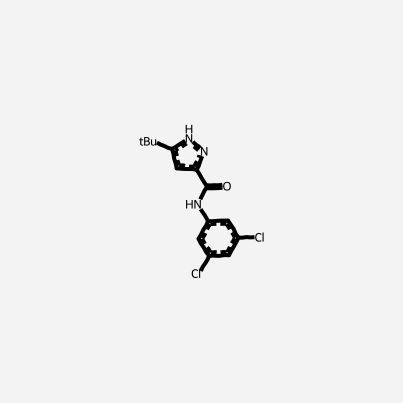 CC(C)(C)c1cc(C(=O)Nc2cc(Cl)cc(Cl)c2)n[nH]1